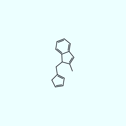 CC1=Cc2ccccc2C1CC1=CC=CC1